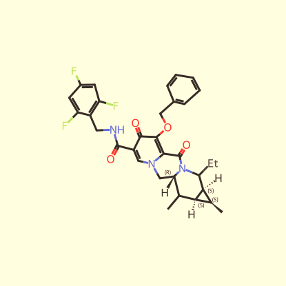 CCC1[C@H]2[C@@H](C)[C@H]2C(C)[C@@H]2Cn3cc(C(=O)NCc4c(F)cc(F)cc4F)c(=O)c(OCc4ccccc4)c3C(=O)N12